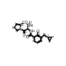 CC(C)(C)[C@H](NC(=O)c1cccc(CC2CC2)c1Cl)C(=O)N1CCC[C@H]1C(=O)O